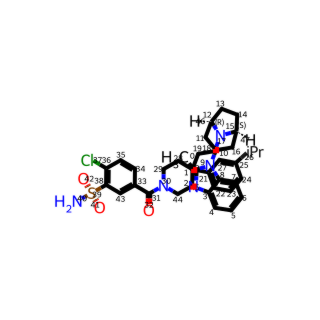 Cc1nc2ccccc2n1C1C[C@H]2CC[C@@H](C1)N2CCC1(c2cccc(C(C)C)c2)CCN(C(=O)c2ccc(Cl)c(S(N)(=O)=O)c2)CC1